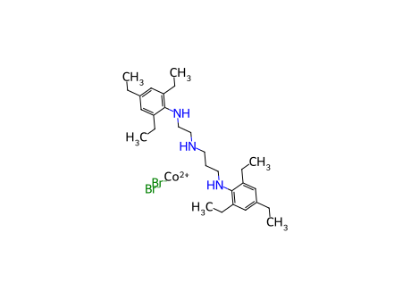 CCc1cc(CC)c(NCCCNCCNc2c(CC)cc(CC)cc2CC)c(CC)c1.[Br-].[Br-].[Co+2]